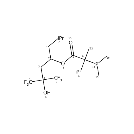 CC(C)CC(CC(O)(C(F)(F)F)C(F)(F)F)OC(=O)C(C)(C(C)C)P(C)C